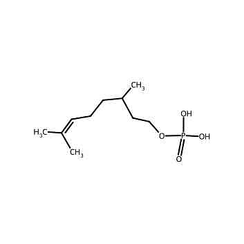 CC(C)=CCCC(C)CCOP(=O)(O)O